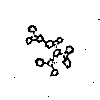 C1=CC(c2ccc3c(c2)c2ccccc2n3-c2ccccc2)Cc2c1n(-c1cc(-c3nc(-c4ccccc4)nc(-c4ccccc4)n3)cc(-n3c4ccccc4c4ccccc43)c1)c1ccccc21